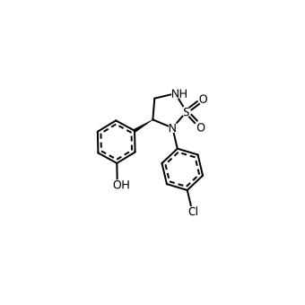 O=S1(=O)NC[C@H](c2cccc(O)c2)N1c1ccc(Cl)cc1